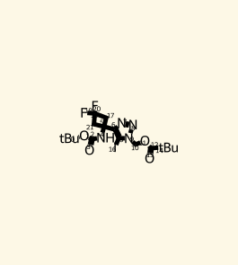 CC(C)(C)OC(=O)NC1(c2nnn(COC(=O)C(C)(C)C)c2I)CC(F)(F)C1